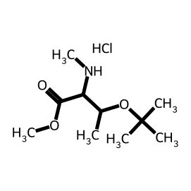 CNC(C(=O)OC)C(C)OC(C)(C)C.Cl